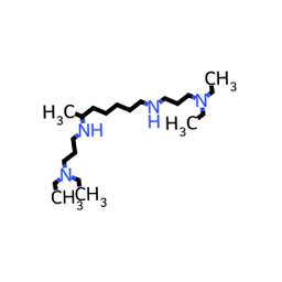 CCN(CC)CCCNCCCCCC(C)NCCCN(CC)CC